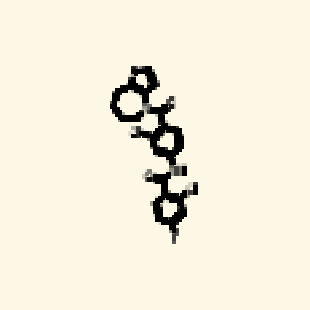 O=C(Nc1ccc(C(=O)N2CCCCc3sccc32)c(Cl)c1)c1ccc(F)cc1Cl